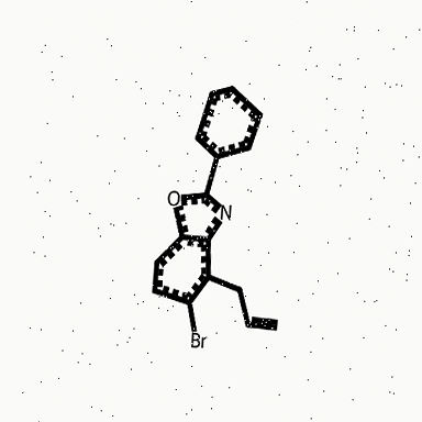 C=CCc1c(Br)ccc2oc(-c3ccccc3)nc12